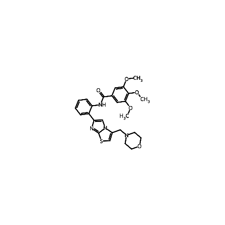 COc1cc(C(=O)Nc2ccccc2-c2cn3c(CN4CCOCC4)csc3n2)cc(OC)c1OC